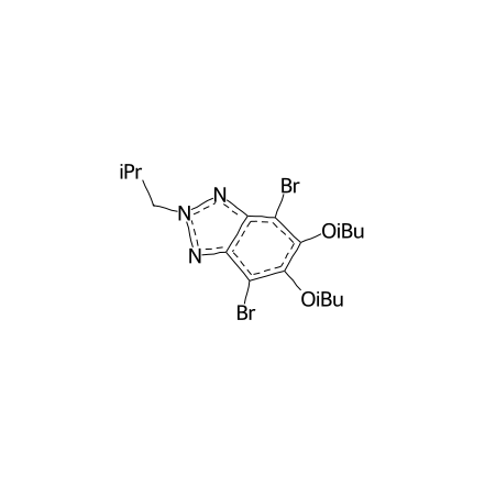 CC(C)COc1c(OCC(C)C)c(Br)c2nn(CC(C)C)nc2c1Br